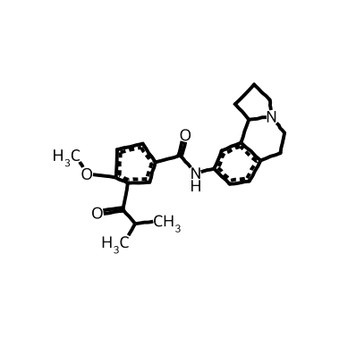 COc1ccc(C(=O)Nc2ccc3c(c2)C2CCCN2CC3)cc1C(=O)C(C)C